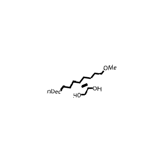 C=C.CCCCCCCCCCCCCCCCCCOC.OCCO